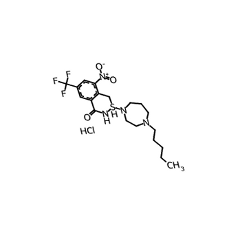 CCCCCN1CCCN([SH]2Cc3c(cc(C(F)(F)F)cc3[N+](=O)[O-])C(=O)N2)CC1.Cl